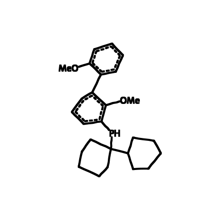 COc1ccccc1-c1cccc(PC2(C3CCCCC3)CCCCC2)c1OC